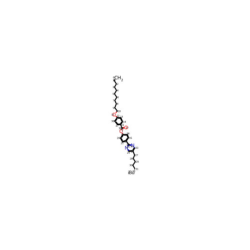 C=CCCCCCCCCCOc1ccc(C(=O)Oc2ccc(-c3ncc(CCCCC[C@@H](C)CC)cn3)cc2)cc1